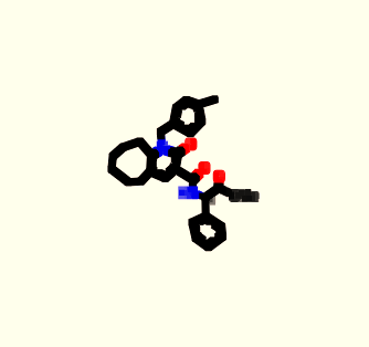 COC(=O)[C@H](NC(=O)c1cc2c(n(Cc3ccc(C)cc3)c1=O)CCCCCC2)c1ccccc1